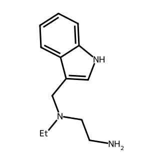 CCN(CCN)Cc1c[nH]c2ccccc12